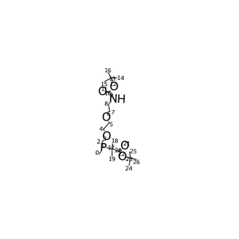 CP(COCCOCCNC(=O)OC(C)(C)C)C(C)(C)C(=O)OC(C)(C)C